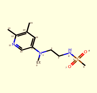 CCN(CCNS(C)(=O)=O)c1cnc(C)c(C)c1